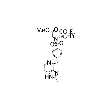 CCOC(=O)[C@H](CC(C)C)N(CC(=O)OC)S(=O)(=O)c1ccc(Cc2nccc3[nH]c(C)nc23)cc1